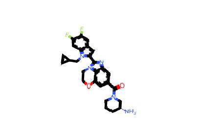 N[C@@H]1CCCN(C(=O)c2cc3c4c(c2)nc(-c2cc5cc(F)c(F)cc5n2CC2CC2)n4CCO3)C1